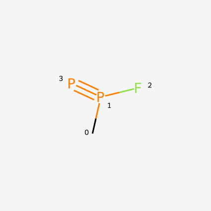 CP(F)#P